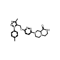 Cc1ccc(-n2nnc(C)c2COc2ccc(N3CCN4CCNC(=O)C4C3)nn2)cc1